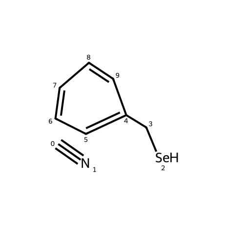 C#N.[SeH]Cc1ccccc1